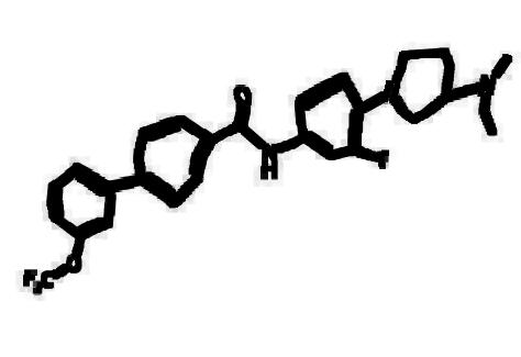 CN(C)C1CCN(c2ccc(NC(=O)c3ccc(-c4cccc(OC(F)(F)F)c4)cc3)cc2F)C1